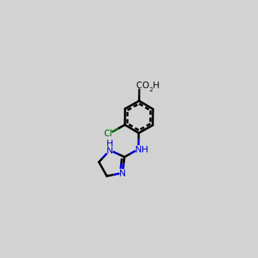 O=C(O)c1ccc(NC2=NCCN2)c(Cl)c1